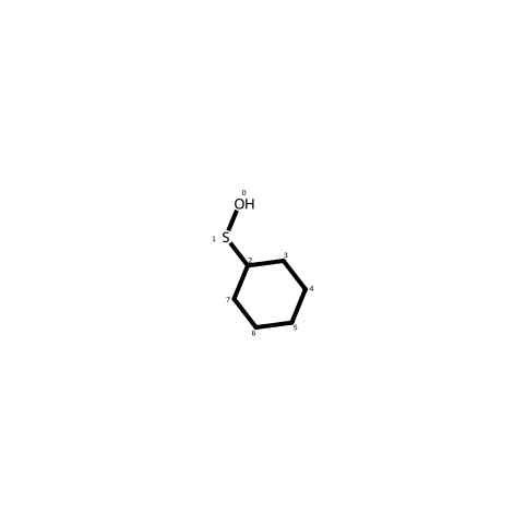 OSC1CCCCC1